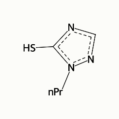 CCCn1ncnc1S